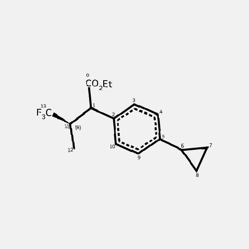 CCOC(=O)C(c1ccc(C2CC2)cc1)[C@@H](C)C(F)(F)F